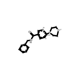 O=C(NCc1c[c]ccc1)c1ccc(N2CCOCC2)nc1